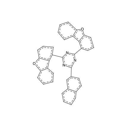 c1ccc2cc(-c3nc(-c4cccc5oc6ccccc6c45)nc(-c4cccc5oc6ccccc6c45)n3)ccc2c1